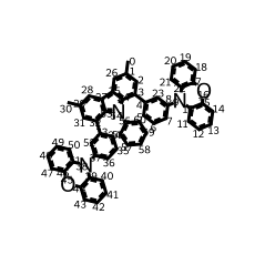 Cc1cc(-c2cccc(N3c4ccccc4Oc4ccccc43)c2)c2c(c1)c1cc(C)cc(-c3cccc(N4c5ccccc5Oc5ccccc54)c3)c1n2-c1ccccc1